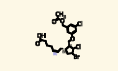 CC(=O)OCc1cc(Cl)cc(OC[C@H]2C(Cl)C(Br)C[C@@H]2C/C=C\CCCC(=O)O)c1